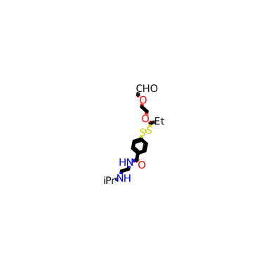 CCC(OCCOCC=O)SSc1ccc(C(=O)NCCNC(C)C)cc1